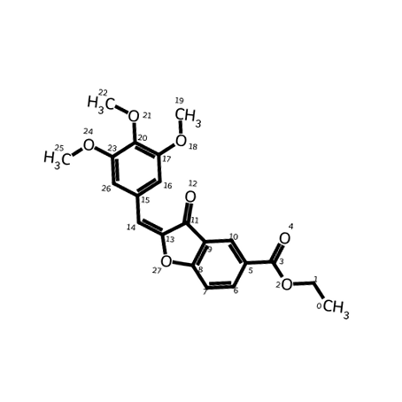 CCOC(=O)c1ccc2c(c1)C(=O)C(=Cc1cc(OC)c(OC)c(OC)c1)O2